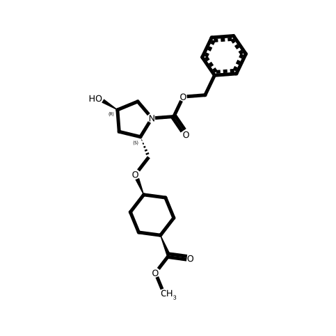 COC(=O)[C@H]1CC[C@@H](OC[C@@H]2C[C@@H](O)CN2C(=O)OCc2ccccc2)CC1